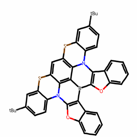 CC(C)(C)c1ccc2c(c1)sc1cc3sc4cc(C(C)(C)C)ccc4n4c3c3c1n2-c1oc2ccccc2c1B3c1oc2ccccc2c1-4